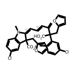 C=C(/C=C/C=C1/N(C)c2ccc(Cl)cc2C1(Cc1ccco1)C(=O)O)C(Cc1ccco1)(C(=O)O)c1cc(Cl)ccc1C